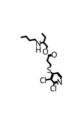 CCCCNC(CC)COC(=O)CCSc1ccnc(Cl)c1Cl